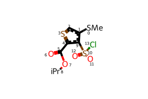 CSc1csc(C(=O)OC(C)C)c1S(=O)(=O)Cl